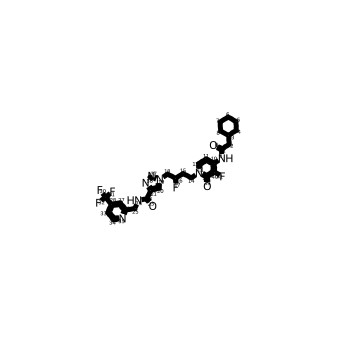 O=C(CC1CCCCC1)Nc1ccn(CCC(F)Cn2cc(C(=O)NCc3cc(C(F)(F)F)ccn3)nn2)c(=O)c1F